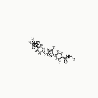 Cc1cc(-c2sc(Cc3ccc(S(=O)(=O)N(C)C)cc3)nc2C)ccc1C(N)=O